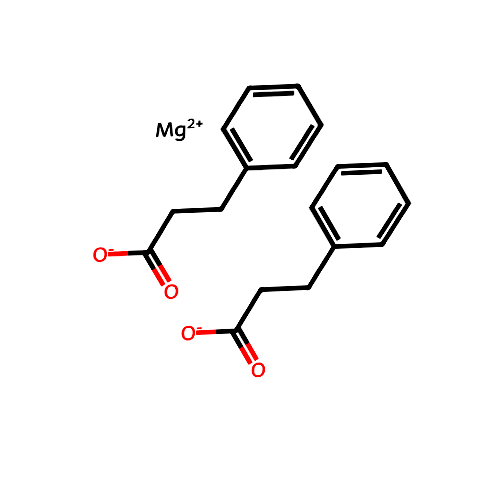 O=C([O-])CCc1ccccc1.O=C([O-])CCc1ccccc1.[Mg+2]